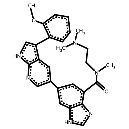 COc1ccccc1-c1c[nH]c2ncc(-c3cc(C(=O)N(C)CCN(C)C)c4nc[nH]c4c3)cc12